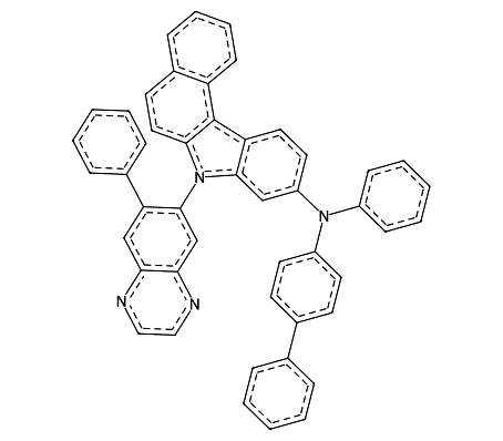 c1ccc(-c2ccc(N(c3ccccc3)c3ccc4c5c6ccccc6ccc5n(-c5cc6nccnc6cc5-c5ccccc5)c4c3)cc2)cc1